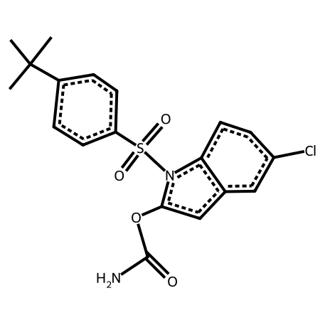 CC(C)(C)c1ccc(S(=O)(=O)n2c(OC(N)=O)cc3cc(Cl)ccc32)cc1